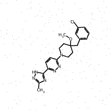 COC1(Cc2cccc(Cl)c2)CCN(c2ccc(-c3nc(C)n[nH]3)nn2)CC1